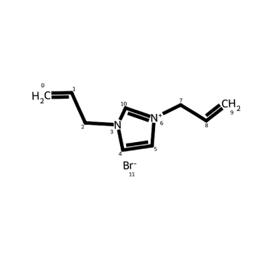 C=CCn1cc[n+](CC=C)c1.[Br-]